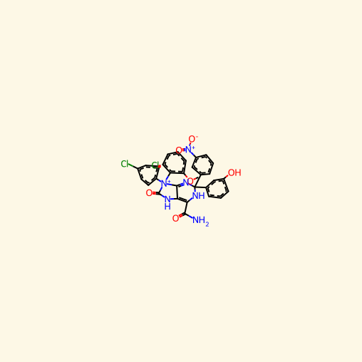 COc1ccccc1[N+]1(c2ccc(Cl)cc2Cl)C(=O)NC2=C(C(N)=O)NC(c3cccc(O)c3)(c3cccc([N+](=O)[O-])c3)N=C21